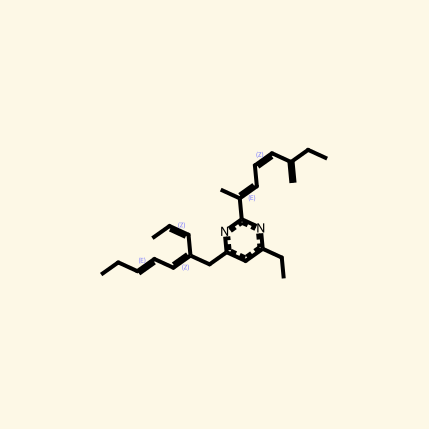 C=C(/C=C\C=C(/C)c1nc(CC)cc(CC(/C=C\C)=C/C=C/CC)n1)CC